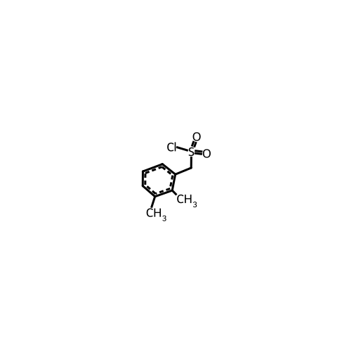 Cc1cccc(CS(=O)(=O)Cl)c1C